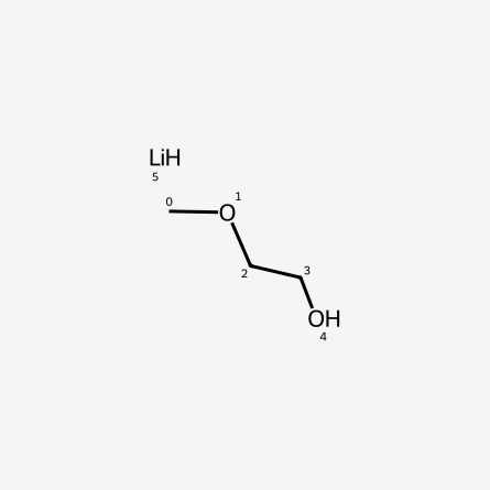 COCCO.[LiH]